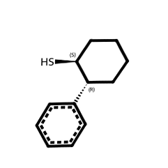 S[C@H]1CCCC[C@@H]1c1ccccc1